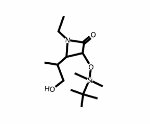 CCN1C(=O)C(O[Si](C)(C)C(C)(C)C)C1C(C)CO